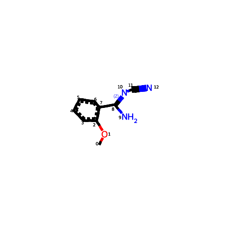 COc1ccccc1/C(N)=N/C#N